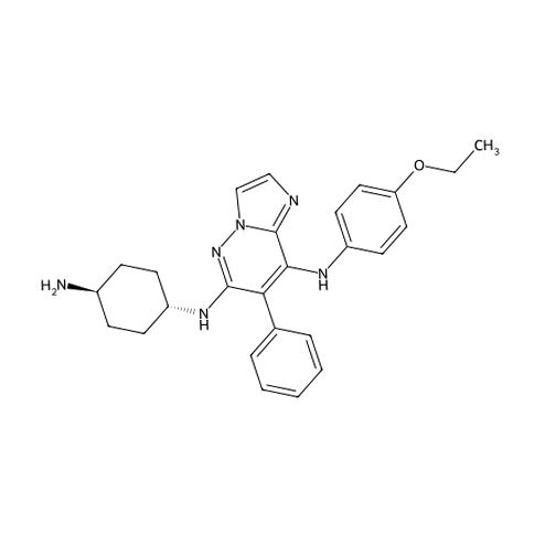 CCOc1ccc(Nc2c(-c3ccccc3)c(N[C@H]3CC[C@H](N)CC3)nn3ccnc23)cc1